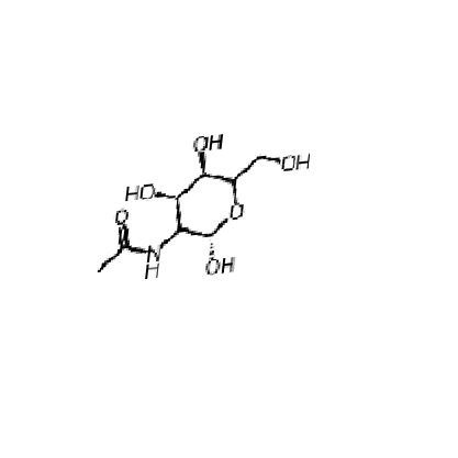 CC(=O)NC1[C@@H](O)[C@@H](O)C(CO)O[C@@H]1O